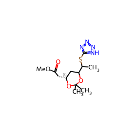 COC(=O)C[C@@H]1CC(C(C)Sc2nnn[nH]2)OC(C)(C)O1